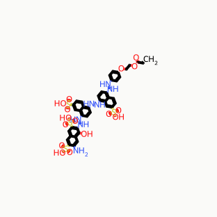 C=CC(=O)OCCOc1ccc(NNc2ccc(NNc3ccc(NNc4c(S(=O)(=O)O)cc5cc(S(=O)(=O)O)c(N)cc5c4O)c4cc(S(=O)(=O)O)ccc34)c3cc(S(=O)(=O)O)ccc23)cc1